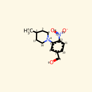 CC1CCN(c2cc(C=O)ccc2[N+](=O)[O-])CC1